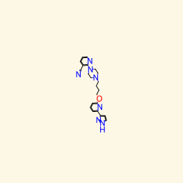 N#Cc1cccnc1N1CCN(CCCCOc2cccc(-c3cc[nH]n3)n2)CC1